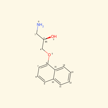 NC[C@@H](O)COc1cccc2ccccc12